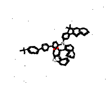 CC(C)(C)c1ccc(-c2ccc(-c3ccc(N(c4ccc5c(c4)-c4cc6ccccc6cc4C5(C)C)c4ccc5ccccc5c4-c4cccc5oc6ccccc6c45)cc3)cc2)cc1